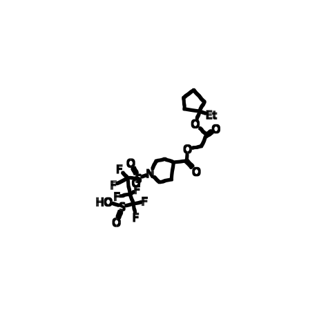 CCC1(OC(=O)COC(=O)C2CCN(S(=O)(=O)C(F)(F)C(F)(F)C(F)(F)S(=O)O)CC2)CCCC1